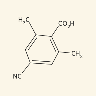 Cc1cc(C#N)cc(C)c1C(=O)O